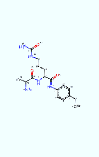 CC(=O)OCc1ccc(NC(=O)C(CCCNC(N)=O)NC(=O)C(N)C(C)C)cc1